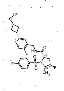 C[C@H]1[C@H](F)C[C@@H](C(=O)NCc2cc([C@H]3C[C@H](OC(F)(F)F)C3)ncc2F)N1S(=O)(=O)c1ccc(F)cc1